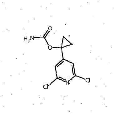 NC(=O)OC1(c2cc(Cl)nc(Cl)c2)CC1